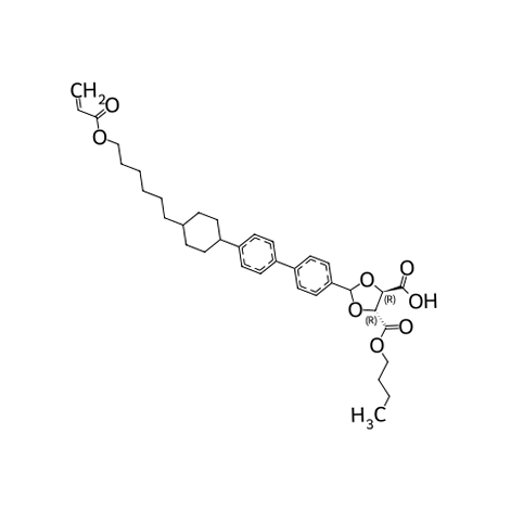 C=CC(=O)OCCCCCCC1CCC(c2ccc(-c3ccc(C4O[C@@H](C(=O)O)[C@H](C(=O)OCCCC)O4)cc3)cc2)CC1